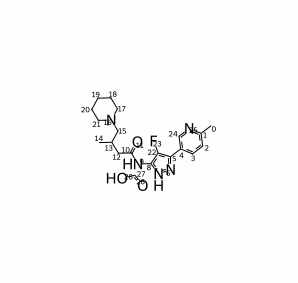 Cc1ccc(-c2n[nH]c(NC(=O)CC(C)CN3CCCCC3)c2F)cn1.O=CO